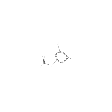 Cc1cc(C)cc(NC(=N)NC(F)(F)F)c1